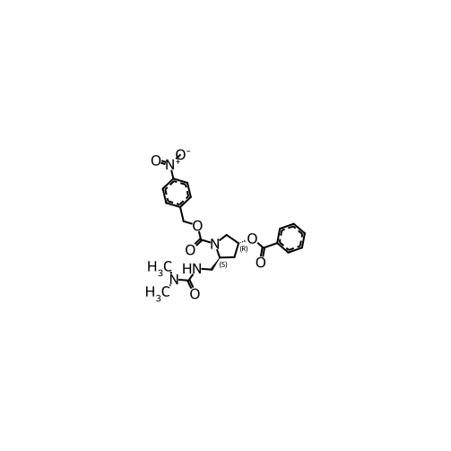 CN(C)C(=O)NC[C@@H]1C[C@@H](OC(=O)c2ccccc2)CN1C(=O)OCc1ccc([N+](=O)[O-])cc1